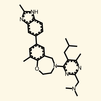 Cc1nc2cc(-c3cc(C)c4c(c3)CN(c3nc(CN(C)C)nc(C)c3CC(C)C)CCO4)ccc2[nH]1